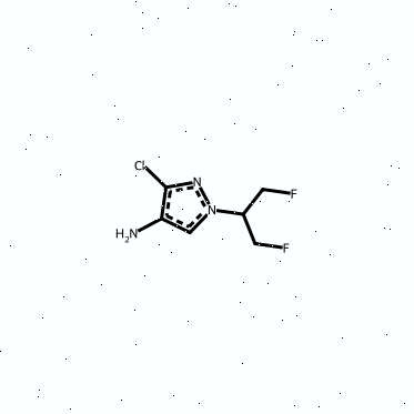 Nc1cn(C(CF)CF)nc1Cl